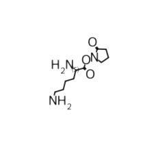 NCCCC[C@H](N)C(=O)ON1CCCC1=O